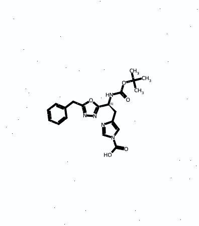 CC(C)(C)OC(=O)N[C@@H](Cc1cn(C(=O)O)cn1)c1nnc(Cc2ccccc2)o1